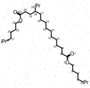 CC(C)CCCCOC(=O)CCCCCCCCCCC(CCC(=O)OCCCCC(C)C)C(C)C